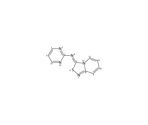 c1cnc(N=c2snc3ccccn23)nc1